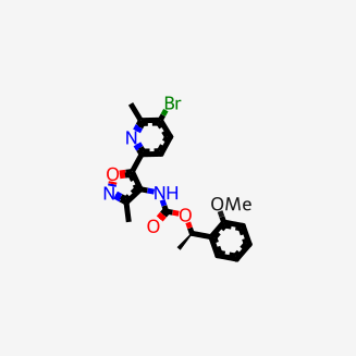 COc1ccccc1[C@@H](C)OC(=O)Nc1c(C)noc1-c1ccc(Br)c(C)n1